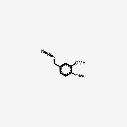 COc1ccc(CN=[N+]=[N-])cc1OC